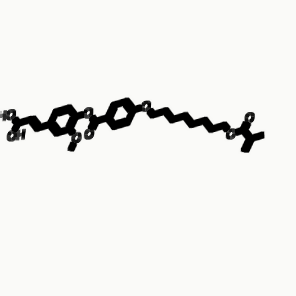 C=C(C)C(=O)OCCCCCCCCOc1ccc(C(=O)Oc2ccc(/C=C/C(O)O)cc2OC)cc1